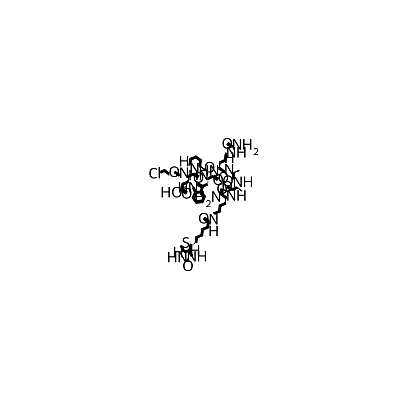 C[C@H](NC(=O)[C@H](C)NC(=O)[C@H](CCCNC(N)=O)NC(=O)[C@H](Cc1c[nH]c2ccccc12)NC(=O)[C@@H]1CCCCN1C(=O)[C@@H](CCC(=O)O)NCOCCCl)C(=O)N[C@@H](CCCCNC(=O)CCCCC[C@H]1SC[C@H]2NC(=O)N[C@H]21)C(N)=O